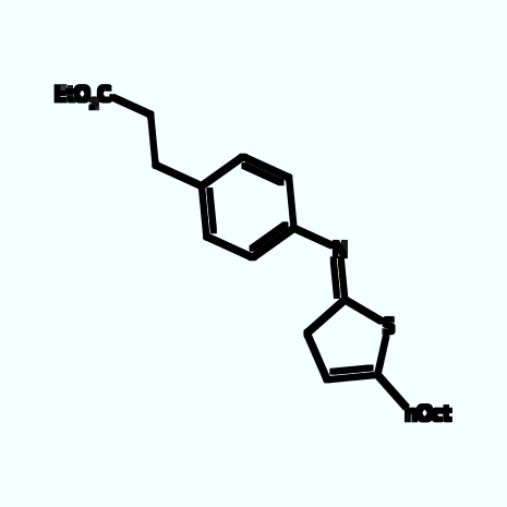 CCCCCCCCC1=CC/C(=N\c2ccc(CCC(=O)OCC)cc2)S1